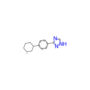 [CH]1CCCC(c2ccc(-c3nc[nH]n3)cc2)C1